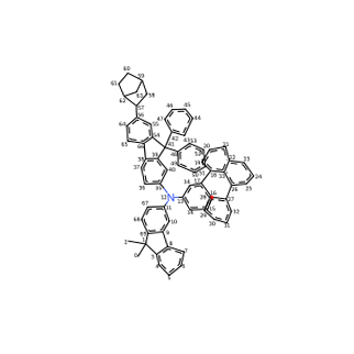 CC1(C)c2ccccc2-c2cc(N(c3cccc(-c4cccc5cccc(-c6ccccc6)c45)c3)c3ccc4c(c3)C(c3ccccc3)(c3ccccc3)c3cc(C5CC6CCC5C6)ccc3-4)ccc21